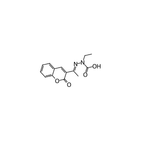 CCN(N=C(C)c1cc2ccccc2oc1=O)C(=O)O